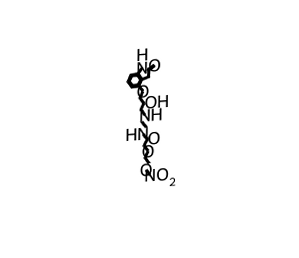 O=C(COCCO[N+](=O)[O-])NCCNCC(O)COc1cccc2c1CC(=O)N2